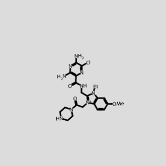 CCn1c(CNC(=O)c2nc(Cl)c(N)nc2N)[n+](CC(=O)N2CCNCC2)c2ccc(OC)cc21